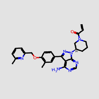 C=CC(=O)N1CCC[C@@H](n2nc(-c3ccc(OCc4cccc(C)n4)c(C)c3)c3c(N)ncnc32)C1